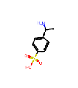 CC(N)c1ccc(S(=O)(=O)O)cc1